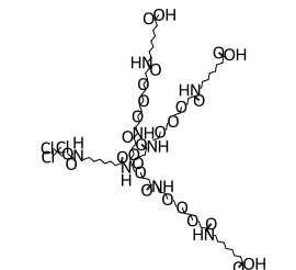 O=C(O)CCCCCCCNC(=O)CCOCCOCCOCCNC(=O)CCOCC(COCCC(=O)NCCOCCOCCOCCC(=O)NCCCCCCCC(=O)O)(NC(=O)CCCCCCCNC(=O)OCC(Cl)(Cl)Cl)OCCC(=O)NCCOCCOCCOCCC(=O)NCCCCCCCC(=O)O